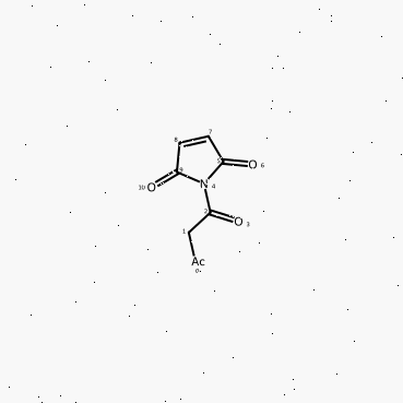 CC(=O)CC(=O)N1C(=O)C=CC1=O